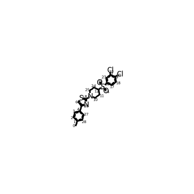 Cc1ccc(-c2csc(N3CCC(S(=O)(=O)c4ccc(Cl)c(Cl)c4)CC3)n2)cc1